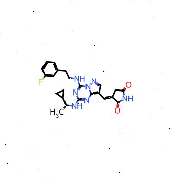 C[C@H](Nc1nc(NCCc2cccc(F)c2)n2ncc(/C=C3\CC(=O)NC3=O)c2n1)C1CC1